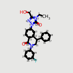 CCn1c(CO)nn(-c2ccc3c(c2)C(c2ccccc2)CN(c2cccc(F)c2)C3=O)c1=O